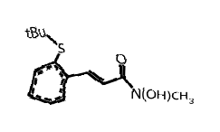 CN(O)C(=O)C=Cc1ccccc1SC(C)(C)C